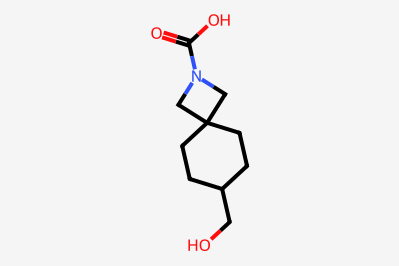 O=C(O)N1CC2(CCC(CO)CC2)C1